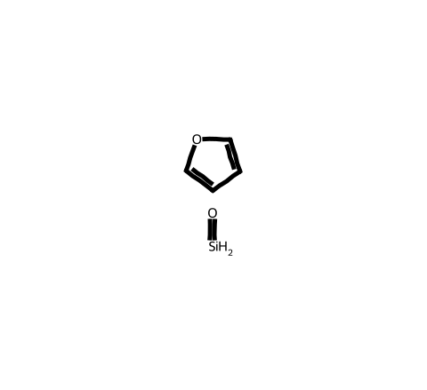 O=[SiH2].c1ccoc1